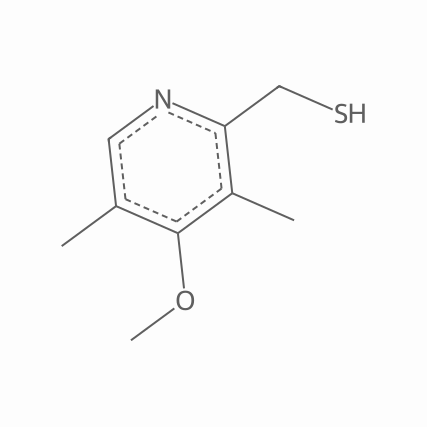 COc1c(C)cnc(CS)c1C